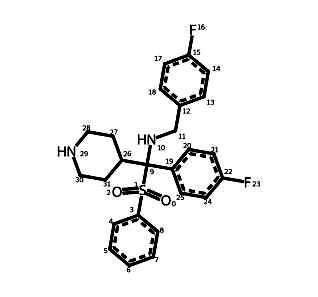 O=S(=O)(c1ccccc1)C(NCc1ccc(F)cc1)(c1ccc(F)cc1)C1CCNCC1